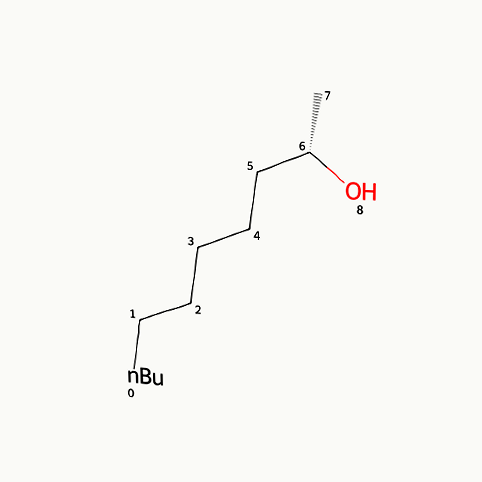 CCCCCCCCC[C@H](C)O